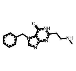 CNCCc1nc2ncn(Cc3ccccc3)c2c(=O)[nH]1